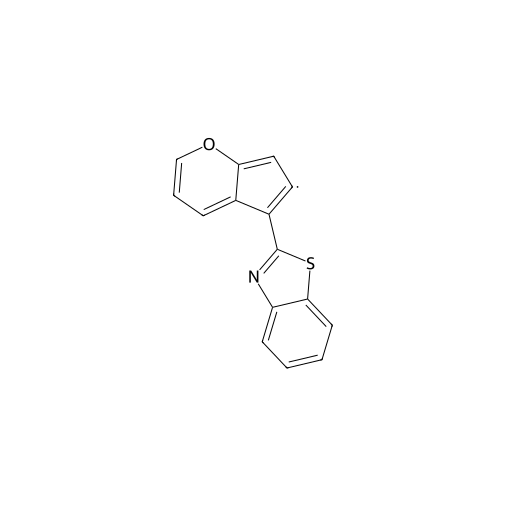 [c]1cc2occcc-2c1-c1nc2ccccc2s1